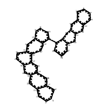 c1ccc2cc3cc4c(-c5cccc6cc7ccc8cc9cc%10ccccc%10cc9cc8c7cc56)cccc4cc3cc2c1